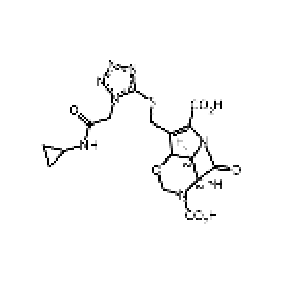 O=C(Cn1nnnc1SCC1=C(C(=O)O)N2C(=O)[C@@H]3[C@H]2C1OCN3C(=O)O)NC1CC1